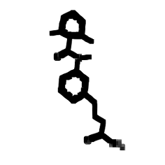 Cc1cccc(C)c1C(=O)N(C)c1cccc(CCCC(N)=O)c1